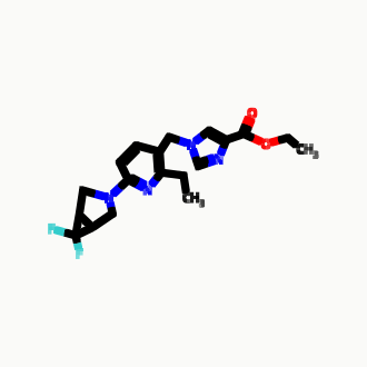 CCOC(=O)c1cn(Cc2ccc(N3CC4C(C3)C4(F)F)nc2CC)cn1